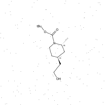 C[C@@H]1C[C@@H](CCO)CCN1C(=O)OC(C)(C)C